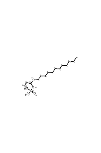 CCCCCCCCCCCCOC(CC)OP(=O)(O)O